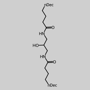 CCCCCCCCCCCCCC(=O)NCC(O)CNC(=O)CCCCCCCCCCCCC